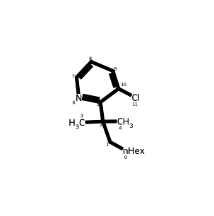 CCCCCCCC(C)(C)c1ncccc1Cl